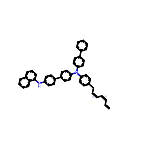 C=C/C=C\C=C/Cc1ccc(N(c2ccc(-c3ccccc3)cc2)c2ccc(-c3ccc(Nc4cccc5ccccc45)cc3)cc2)cc1